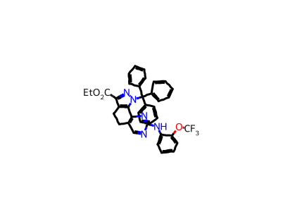 CCOC(=O)c1nn(C(c2ccccc2)(c2ccccc2)c2ccccc2)c2c1CCc1cnc(Nc3ccccc3OC(F)(F)F)nc1-2